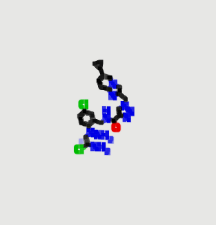 N/C(Cl)=C\N(N)c1ccc(Cl)cc1CNC(=O)c1cn(Cc2cn3cc(C4CC4)ccc3n2)nn1